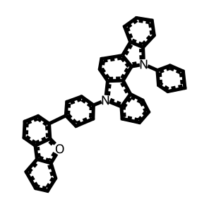 c1ccc(-n2c3ccccc3c3ccc4c(c5ccccc5n4-c4ccc(-c5cccc6c5oc5ccccc56)cc4)c32)cc1